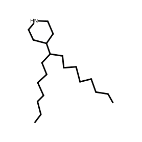 CCCCCCCCC(CCCCCCC)C1CCNCC1